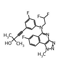 Cn1nnc2nc(N(CC(F)F)c3cc(F)cc(C#CC(C)(C)O)c3)c3cc(F)ccc3c21